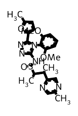 COc1cccc(OC)c1-n1c(N[S+]([O-])C(C)C(C)c2cnc(C)cn2)nnc1-c1ccc(C)o1